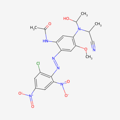 COc1cc(/N=N/c2c(Cl)cc([N+](=O)[O-])cc2[N+](=O)[O-])c(NC(C)=O)cc1N(C(C)O)C(C)C#N